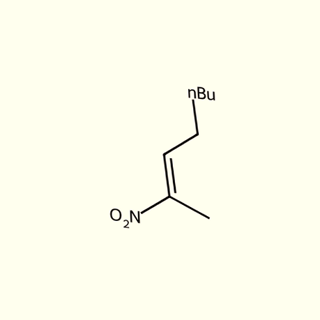 CCCCCC=C(C)[N+](=O)[O-]